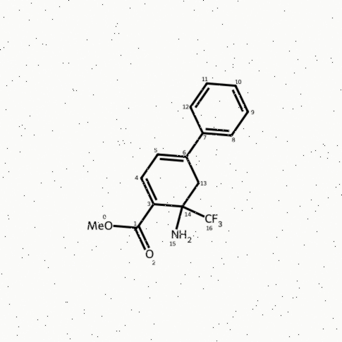 COC(=O)C1=CC=C(c2ccccc2)CC1(N)C(F)(F)F